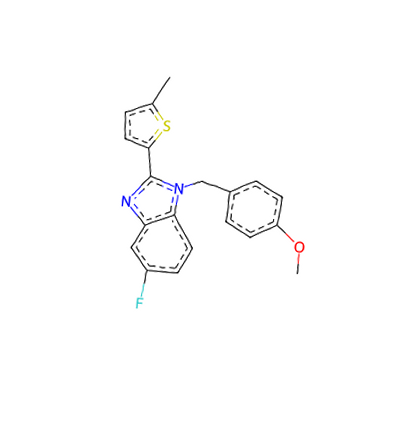 COc1ccc(Cn2c(-c3ccc(C)s3)nc3cc(F)ccc32)cc1